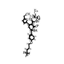 CCc1ccc(-c2cc(-c3ccc(OCCCC(F)(F)F)cc3)[nH]c(=O)c2C(=O)NS(C)(=O)=O)s1